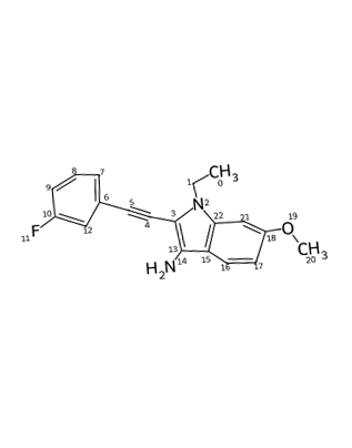 CCn1c(C#Cc2cccc(F)c2)c(N)c2ccc(OC)cc21